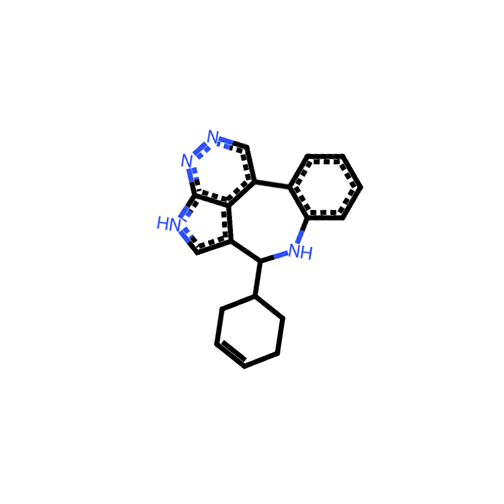 C1=CCC(C2Nc3ccccc3-c3cnnc4[nH]cc2c34)CC1